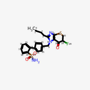 CCCCc1nc2c(n1Cc1ccc(-c3ccccc3S(N)(=O)=O)cc1)C(=O)C(F)CS2